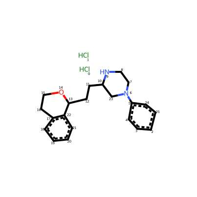 Cl.Cl.c1ccc(N2CCNC(CCC3OCCc4ccccc43)C2)cc1